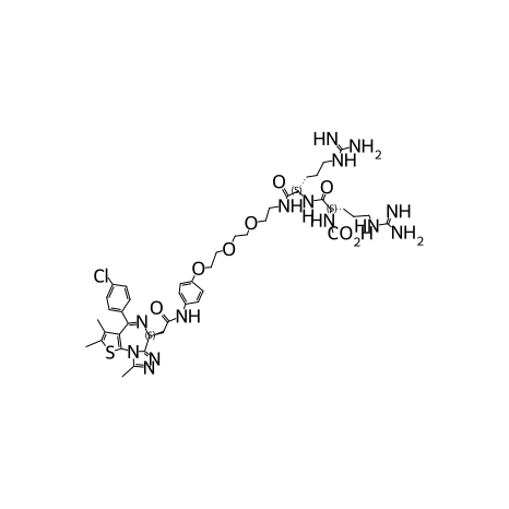 Cc1sc2c(c1C)C(c1ccc(Cl)cc1)=N[C@@H](CC(=O)Nc1ccc(OCCOCCOCCNC(=O)[C@H](CCCNC(=N)N)NC(=O)[C@H](CCCNC(=N)N)NC(=O)O)cc1)c1nnc(C)n1-2